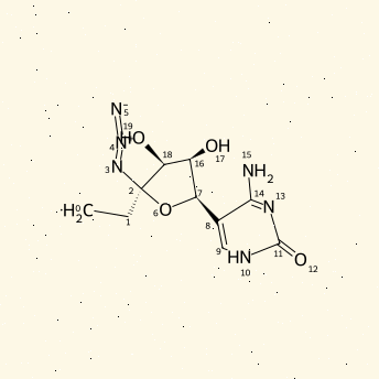 [CH2]C[C@@]1(N=[N+]=[N-])O[C@H](c2c[nH]c(=O)nc2N)[C@H](O)[C@@H]1O